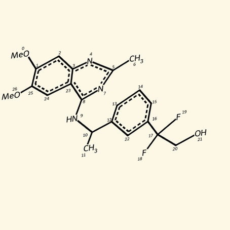 COc1cc2nc(C)nc(NC(C)c3cccc(C(F)(F)CO)c3)c2cc1OC